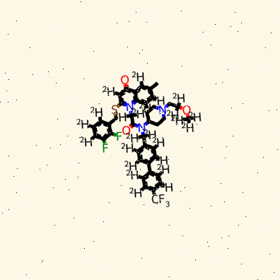 [2H]c1c([2H])c(F)c(F)c(CSc2c([2H])c(=O)c3c([2H])c(C)c([2H])c([2H])c3n2C([2H])([2H])C(=O)N(C2CCN(CC([2H])([2H])OC([2H])([2H])[2H])CC2)C([2H])([2H])c2c([2H])c([2H])c(-c3c([2H])c([2H])c(C(F)(F)F)c([2H])c3[2H])c([2H])c2[2H])c1[2H]